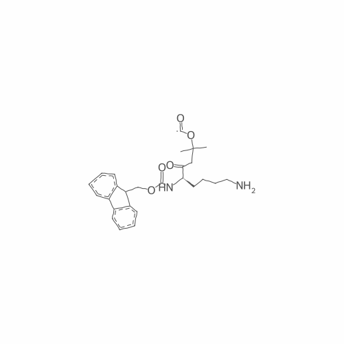 CC(C)(CC(=O)[C@@H](CCCCN)NC(=O)OCC1c2ccccc2-c2ccccc21)O[C]=O